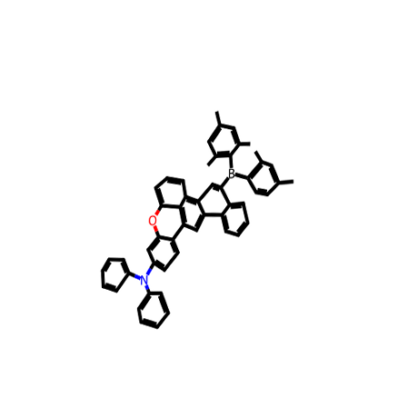 Cc1ccc(B(c2c(C)cc(C)cc2C)c2cc3c4cccc5c4c(cc3c3ccccc23)-c2ccc(N(c3ccccc3)c3ccccc3)cc2O5)c(C)c1